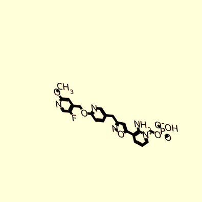 COc1cc(COc2ccc(Cc3cc(-c4ccc[n+](COP(=O)([O-])O)c4N)on3)cn2)c(F)cn1